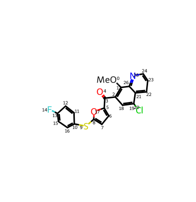 COc1c(C(=O)c2ccc(Sc3ccc(F)cc3)o2)cc(Cl)c2cccnc12